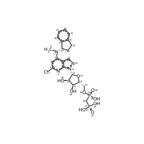 CN(c1cc(Cl)nc2c1cnn2[C@@H]1O[C@H](COP(=O)(O)CP(=O)(O)O)[C@@H](O)[C@H]1O)[C@H]1CCc2ccccc21